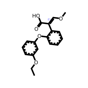 CCOc1cccc(Oc2ccccc2/C(=C\OC)C(=O)O)c1